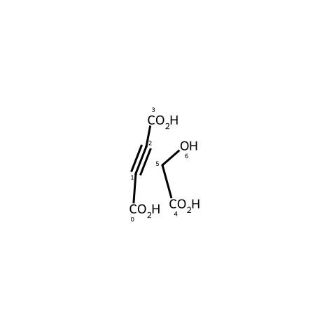 O=C(O)C#CC(=O)O.O=C(O)CO